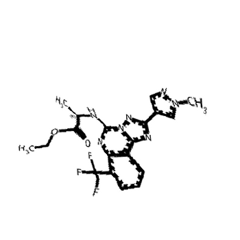 CCOC(=O)[C@@H](C)Nc1nc2c(C(F)(F)F)cccc2c2nc(-c3cnn(C)c3)nn12